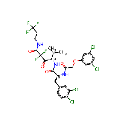 CC(C)[C@H](NC(=O)[C@H](Cc1ccc(Cl)c(Cl)c1)NC(=O)COc1cc(Cl)cc(Cl)c1)C(=O)C(F)(F)C(=O)NCCC(F)(F)F